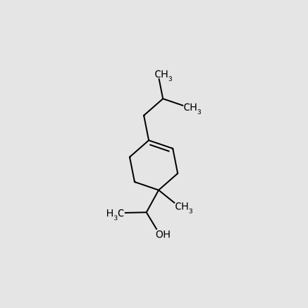 CC(C)CC1=CCC(C)(C(C)O)CC1